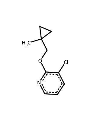 CC1(COc2ncccc2Cl)CC1